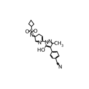 Cc1nn(C2=CCC(=NS(=O)(=O)C3CCC3)C=N2)c(O)c1-c1ccc(C#N)cc1